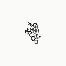 CC(C)(C)Sc1cccnc1-c1nc(C(F)(F)F)c(Oc2ccc(Cl)c(C(F)(F)F)c2)c(=O)[nH]1